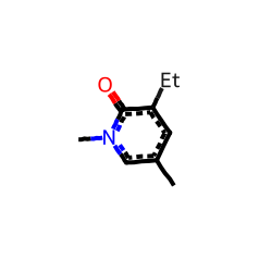 CCc1cc(C)cn(C)c1=O